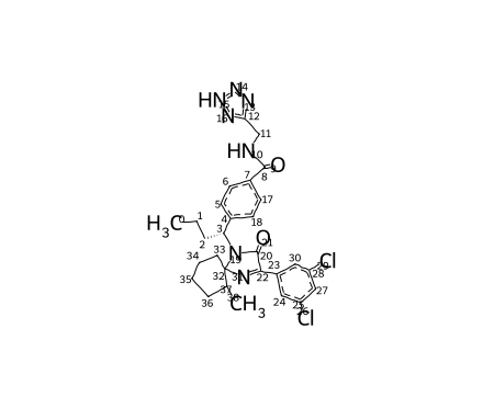 CCC[C@H](c1ccc(C(=O)NCc2nn[nH]n2)cc1)N1C(=O)C(c2cc(Cl)cc(Cl)c2)=NC12CCCCC2C